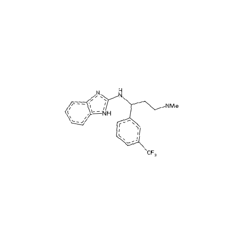 CNCCC(Nc1nc2ccccc2[nH]1)c1cccc(C(F)(F)F)c1